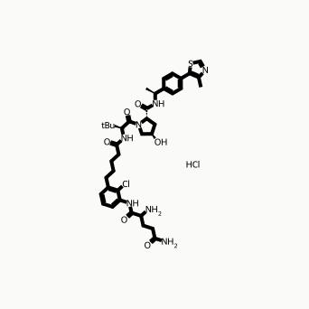 Cc1ncsc1-c1ccc([C@H](C)NC(=O)[C@@H]2C[C@@H](O)CN2C(=O)[C@@H](NC(=O)CCCCc2cccc(NC(=O)C(N)CCC(N)=O)c2Cl)C(C)(C)C)cc1.Cl